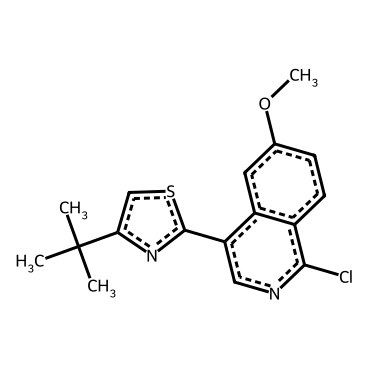 COc1ccc2c(Cl)ncc(-c3nc(C(C)(C)C)cs3)c2c1